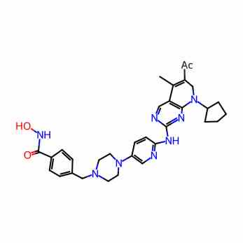 CC(=O)C1=C(C)c2cnc(Nc3ccc(N4CCN(Cc5ccc(C(=O)NO)cc5)CC4)cn3)nc2N(C2CCCC2)C1